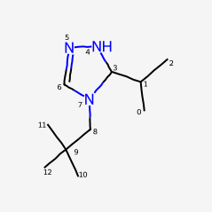 CC(C)C1NN=CN1CC(C)(C)C